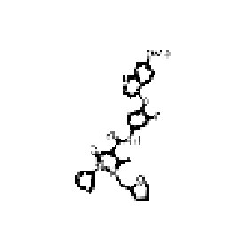 COc1ccc2c(Oc3ccc(NC(=O)c4c(C)n(CC5CCCO5)n(-c5ccccc5)c4=O)cc3F)ccnc2c1